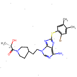 Cc1cc(Br)c(Sc2nc3c(N)ncn(CCC4CCN(C(=O)[C@H](C)O)CC4)c-3n2)cc1C